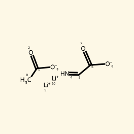 CC(=O)[O-].N=CC(=O)[O-].[Li+].[Li+]